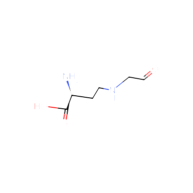 N[C@@H](CCNCC=O)C(=O)O